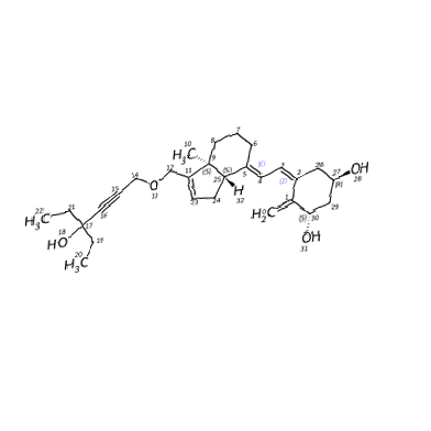 C=C1/C(=C\C=C2/CCC[C@]3(C)C(COCC#CC(O)(CC)CC)=CC[C@@H]23)C[C@@H](O)C[C@@H]1O